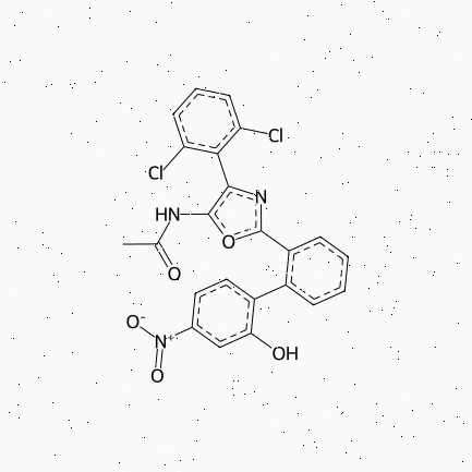 CC(=O)Nc1oc(-c2ccccc2-c2ccc([N+](=O)[O-])cc2O)nc1-c1c(Cl)cccc1Cl